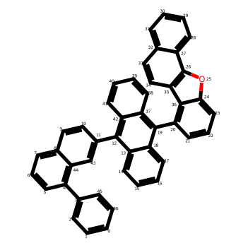 c1ccc(-c2cccc3ccc(-c4c5ccccc5c(-c5cccc6oc7c8ccccc8ccc7c56)c5ccccc45)cc23)cc1